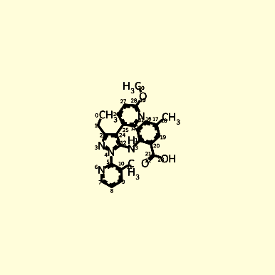 CCc1nn(-c2ncccc2C)c(Nc2ccc(C)cc2C(=O)O)c1-c1ccc(OC)nc1